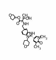 Cc1cc([C@H]2Nc3cc(CN[C@H](C(=O)O[C@H]4CCOC4)[C@H](C)O)ccc3N2C2CCOCC2)cn(C)c1=O